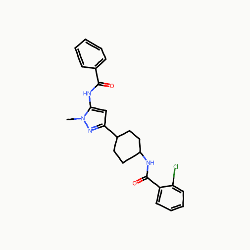 Cn1nc(C2CCC(NC(=O)c3ccccc3Cl)CC2)cc1NC(=O)c1ccccc1